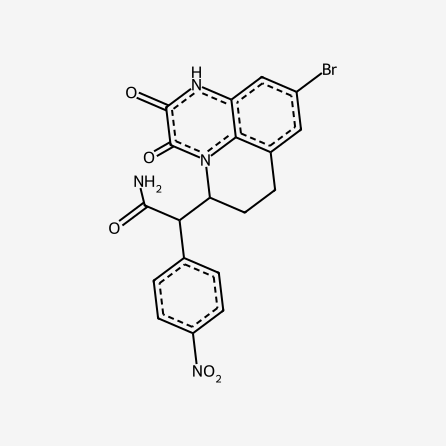 NC(=O)C(c1ccc([N+](=O)[O-])cc1)C1CCc2cc(Br)cc3[nH]c(=O)c(=O)n1c23